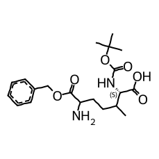 CC(CCC(N)C(=O)OCc1ccccc1)[C@H](NC(=O)OC(C)(C)C)C(=O)O